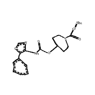 CC(C)(C)OC(=O)N1CCC(OC(=O)Nc2ncsc2-c2ccccc2)CC1